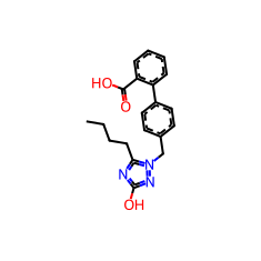 CCCCc1nc(O)nn1Cc1ccc(-c2ccccc2C(=O)O)cc1